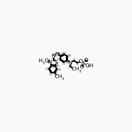 CCN(CCOS(=O)(=O)O)c1ccc(/N=N\c2sc3cc(C)ccc3[n+]2C)cc1